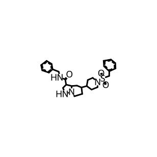 O=C(NCc1ccccc1)C1CNN2CCC(C3CCN(S(=O)(=O)Cc4ccccc4)CC3)CC12